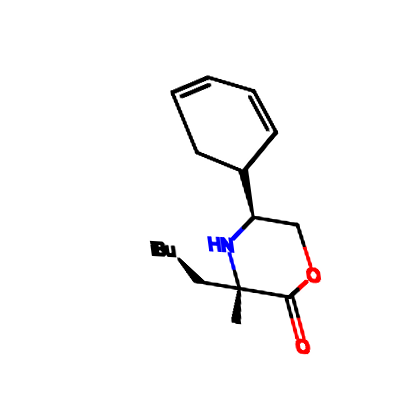 CC[C@H](C)C[C@]1(C)N[C@@H](C2C=CC=CC2)COC1=O